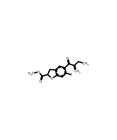 C=C(CC)C(=O)c1cc2c(cc1F)OC(C(=O)OC)C2